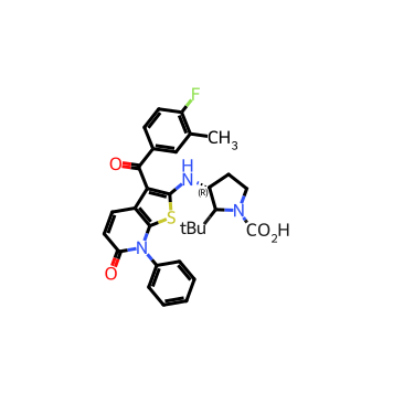 Cc1cc(C(=O)c2c(N[C@@H]3CCN(C(=O)O)C3C(C)(C)C)sc3c2ccc(=O)n3-c2ccccc2)ccc1F